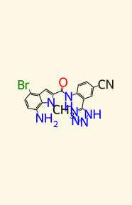 Cn1c(C(=O)Nc2ccc(C#N)cc2-c2nnn[nH]2)cc2c(Br)ccc(N)c21